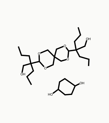 CCCC(CO)(CCC)C1OCC2(CO1)COC(C(CO)(CCC)CCC)OC2.OC1CCC(O)CC1